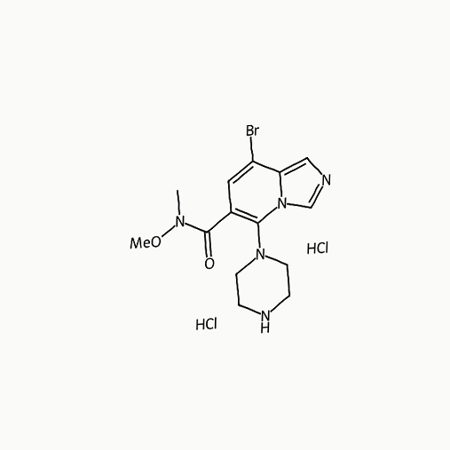 CON(C)C(=O)c1cc(Br)c2cncn2c1N1CCNCC1.Cl.Cl